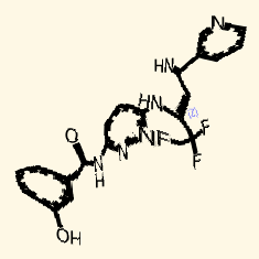 N=C(/C=C(\Nc1ccc(NC(=O)c2cccc(O)c2)nn1)C(F)(F)F)c1cccnc1